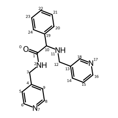 O=C(NCc1ccncc1)C(NCc1cccnc1)c1ccccc1